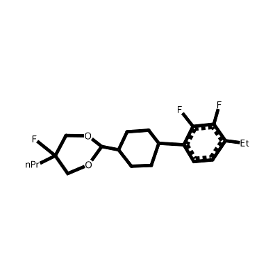 CCCC1(F)COC(C2CCC(c3ccc(CC)c(F)c3F)CC2)OC1